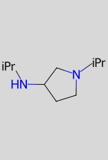 CC(C)NC1CCN(C(C)C)C1